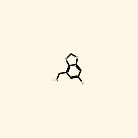 OCc1cc(Cl)cc2c1OCO2